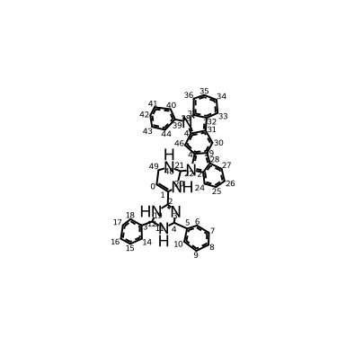 C1=C(C2=NC(c3ccccc3)NC(c3ccccc3)N2)NC(n2c3ccccc3c3cc4c5ccccc5n(-c5ccccc5)c4cc32)NC1